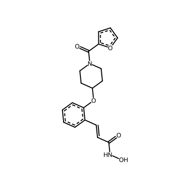 O=C(C=Cc1ccccc1OC1CCN(C(=O)c2ccco2)CC1)NO